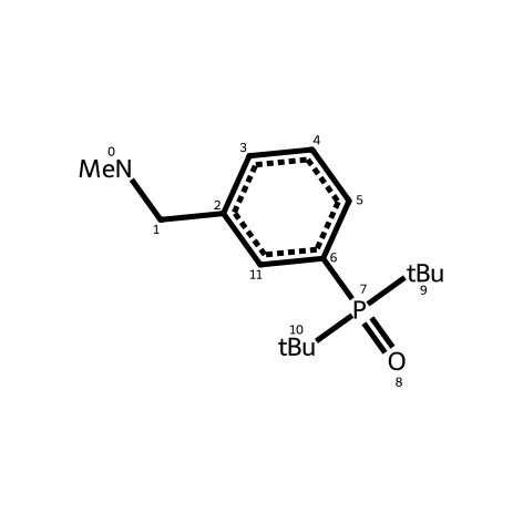 CNCc1cccc(P(=O)(C(C)(C)C)C(C)(C)C)c1